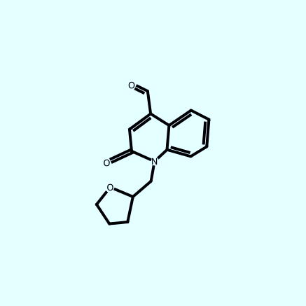 O=Cc1cc(=O)n(CC2CCCO2)c2ccccc12